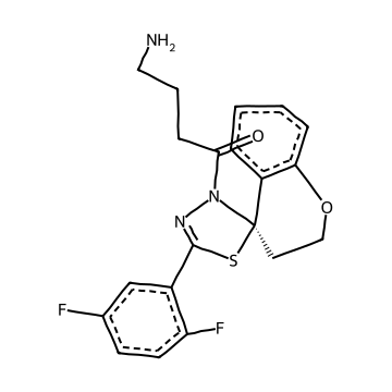 NCCCC(=O)N1N=C(c2cc(F)ccc2F)S[C@@]12CCOc1ccccc12